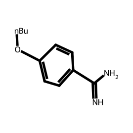 [CH2]CCCOc1ccc(C(=N)N)cc1